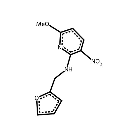 COc1ccc([N+](=O)[O-])c(NCc2ccco2)n1